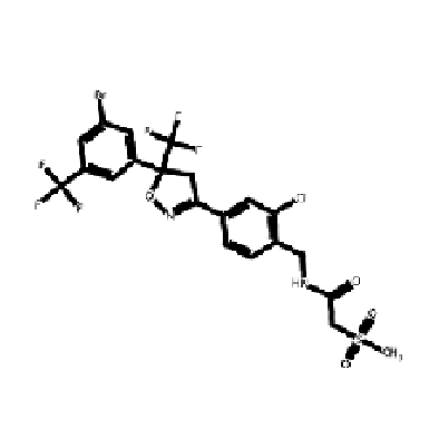 CS(=O)(=O)CC(=O)NCc1ccc(C2=NOC(c3cc(Br)cc(C(F)(F)F)c3)(C(F)(F)F)C2)cc1Cl